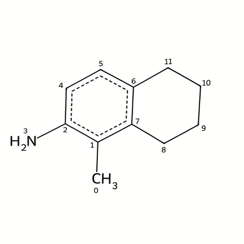 Cc1c(N)ccc2c1CCCC2